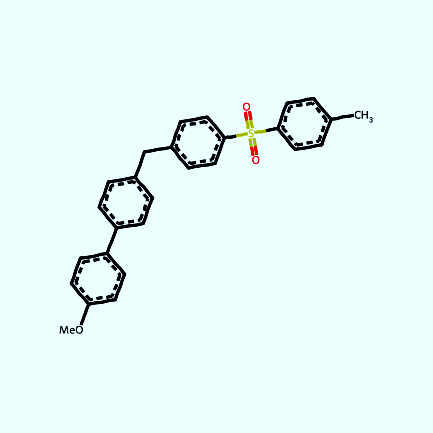 COc1ccc(-c2ccc(Cc3ccc(S(=O)(=O)c4ccc(C)cc4)cc3)cc2)cc1